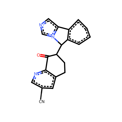 N#Cc1cnc2c(c1)CCC(C1c3ccccc3-c3cncn31)C2=O